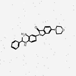 CC(Nc1ccc(N2Cc3cc(N4CCOCC4)ccc3C2=O)cc1N)c1ccccc1